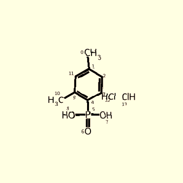 Cc1ccc(P(=O)(O)O)c(C)c1.Cl.Cl